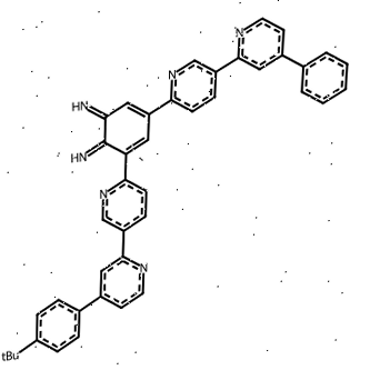 CC(C)(C)c1ccc(-c2ccnc(-c3ccc(C4=CC(c5ccc(-c6cc(-c7ccccc7)ccn6)cn5)=CC(=N)C4=N)nc3)c2)cc1